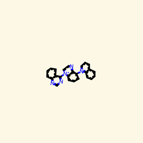 c1ccc2c(c1)ccc[n+]2-c1cccc2c1ncc[n+]2-c1ncnc2ccccc12